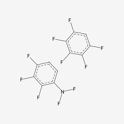 Fc1cc(F)c(F)c(F)c1F.Fc1ccc(N(F)F)c(F)c1F